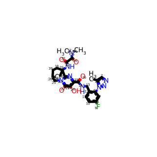 Cc1cnnn1-c1cc(F)ccc1CNC(=O)c1nc2n(c(=O)c1O)CC1CCC2(NC(=O)C(=O)N(C)C)CC1